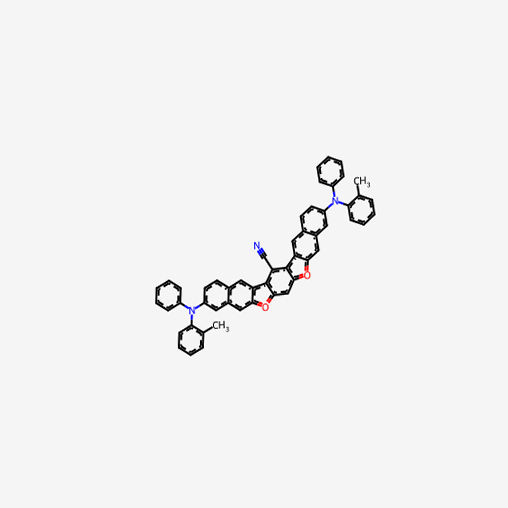 Cc1ccccc1N(c1ccccc1)c1ccc2cc3c(cc2c1)oc1cc2oc4cc5cc(N(c6ccccc6)c6ccccc6C)ccc5cc4c2c(C#N)c13